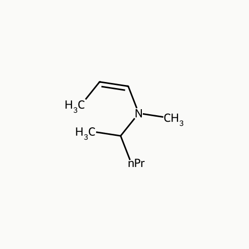 C/C=C\N(C)C(C)CCC